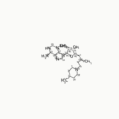 CC1CCN(CCN(C)C[C@H]2O[C@@H](n3cnc4c3N(C)CNC4N)[C@H](O)[C@@H]2O)CC1